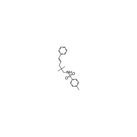 Cc1ccc(S(=O)(=O)NCC(C)(C)C/C=C/c2ccccc2)cc1